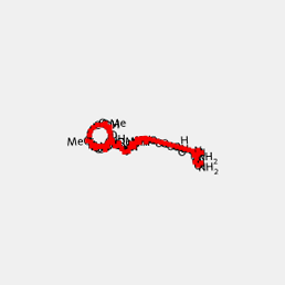 CO[C@H]1C[C@@H]2CC[C@@H](C)[C@@](O)(O2)C(=O)C(=O)N2CCCC[C@H]2C(=O)O[C@H]([C@H](N)C[C@@H]2CC[C@@H](OCc3cccc(-c4cnc(N5CCN(Cc6cn(CCOCCOCCOCCOCCOCCC(=O)NCCCCn7nc(-c8ccc9oc(N)nc9c8)c8c(N)ncnc87)nn6)CC5)nc4)c3)[C@H](OC)C2)CC(=O)[C@H](C)/C=C(\C)[C@@H](O)[C@@H](OC)C(=O)[C@H](C)C[C@H](C)/C=C/C=C/C=C/1C